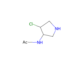 CC(=O)NC1CNCC1Cl